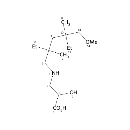 CCC(C)(CNCC(O)C(=O)O)CC(C)(CC)COC